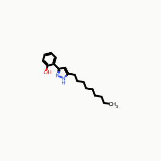 CCCCCCCCCc1cc(-c2ccccc2O)n[nH]1